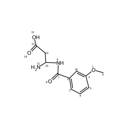 COc1cccc(C(=O)NC(N)CC(=O)O)c1